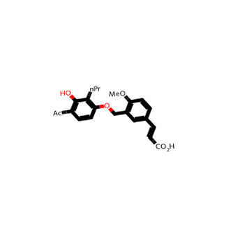 CCCc1c(OCc2cc(C=CC(=O)O)ccc2OC)ccc(C(C)=O)c1O